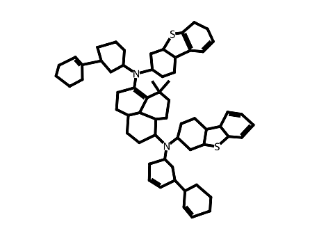 CC1(C)CCC2C3C1=C(N(C1CCCC(C4=CCCCC4)C1)C1CCC4C5=C(CCC=C5)SC4C1)CCC3CCC2N(C1CC=CC(C2C=CCCC2)C1)C1CCC2C(C1)SC1C=CC=CC12